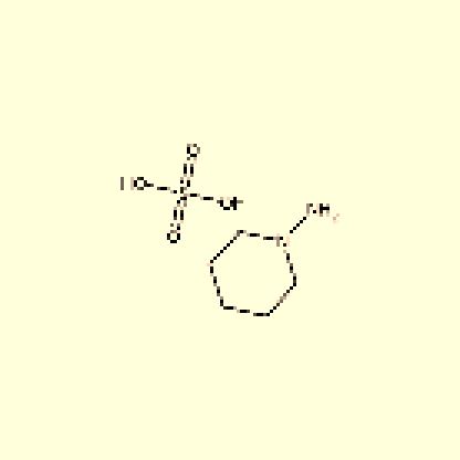 NN1CCCCC1.O=S(=O)(O)O